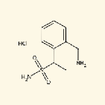 CC(c1ccccc1CN)S(N)(=O)=O.Cl